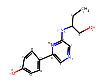 CCC(CO)Nc1cncc(-c2ccc(O)cc2)n1